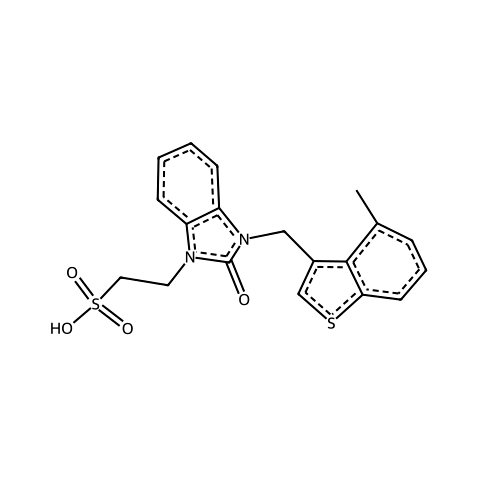 Cc1cccc2scc(Cn3c(=O)n(CCS(=O)(=O)O)c4ccccc43)c12